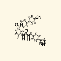 Cc1ccc(C(=O)N2CCC(c3ccc(C#N)cc3)CC2)cc1NC(=O)NCc1ccc(-c2csnn2)cc1